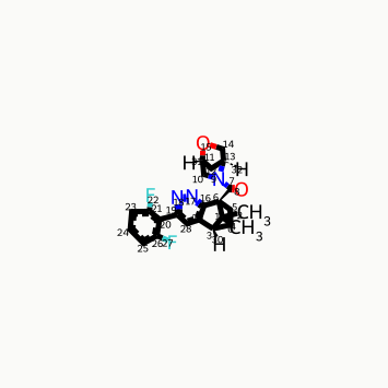 CC1(C)[C@@H]2CC[C@@]1(C(=O)N1C[C@@H]3C[C@H]1CO3)c1nnc(-c3c(F)cccc3F)cc12